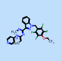 C=N/C(=N\C(=C\OC)Nc1ccncc1)c1nn(Cc2c(F)c(F)c(OCC(F)(F)F)c(F)c2F)c2ccccc12